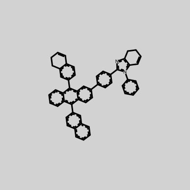 C1=Cc2ccc(-c3c4ccccc4c(-c4ccc5ccccc5c4)c4ccc(-c5ccc(-c6nc7c(n6-c6ccccc6)C=CCC7)cc5)cc34)cc2CC1